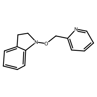 c1ccc(CON2CCc3ccccc32)nc1